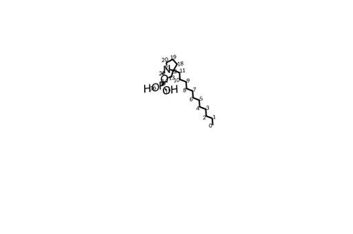 CCCCCCCCCCCCC1(COP(O)O)CCCN1C